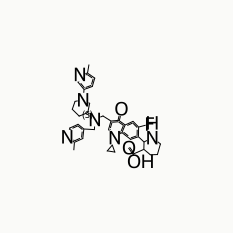 Cc1ccc(N2CCC[C@H](N(Cc3ccnc(C)c3)Cc3cn(C4CC4)c4cc(C5NCCCC5C(=O)O)c(F)cc4c3=O)C2)cn1